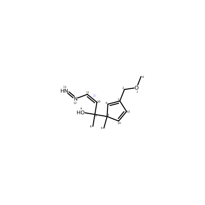 COCC1=CC(C)(C(C)(O)/C=C\N=N)C=C1